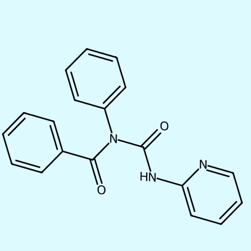 O=C(Nc1ccccn1)N(C(=O)c1ccccc1)c1ccccc1